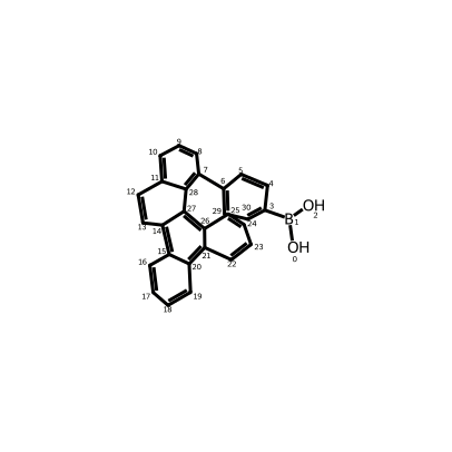 OB(O)c1ccc(-c2cccc3ccc4c5ccccc5c5ccccc5c4c23)cc1